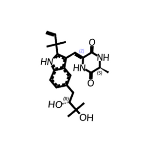 C=CC(C)(C)c1[nH]c2ccc(C[C@@H](O)C(C)(C)O)cc2c1/C=C1\NC(=O)[C@H](C)NC1=O